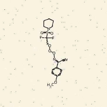 COc1ccc(/C(C#N)=N/OOOSC(F)(F)S(=O)(=O)N2CCCCC2)cc1